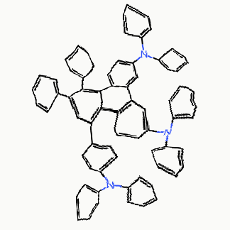 C1=CCCC(c2c(-c3ccccc3)cc(-c3ccc(N(c4ccccc4)c4ccccc4)cc3)c3c4ccc(N(c5ccccc5)c5ccccc5)cc4c4cc(N(c5ccccc5)c5ccccc5)ccc4c23)=C1